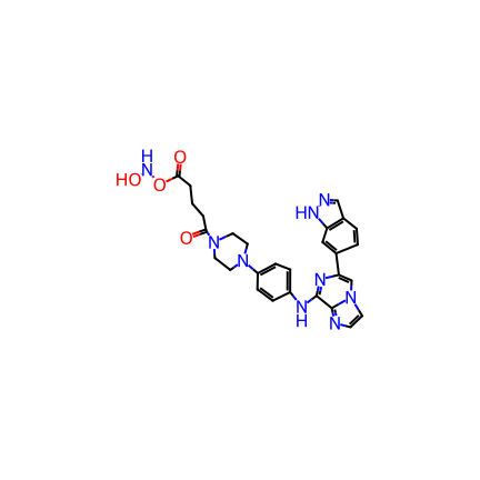 O=C(CCCC(=O)N1CCN(c2ccc(Nc3nc(-c4ccc5cn[nH]c5c4)cn4ccnc34)cc2)CC1)ONO